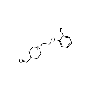 O=CC1CCN(CCOc2ccccc2F)CC1